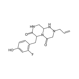 C=CCN1CC(=O)N2C(CNC(=O)C2Cc2ccc(O)cc2F)N1